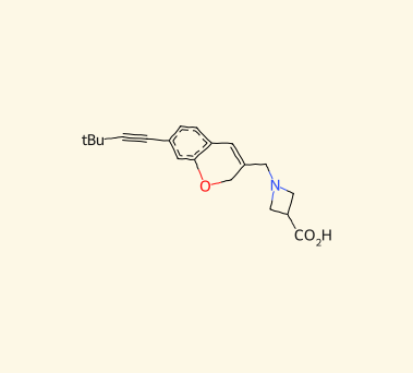 CC(C)(C)C#Cc1ccc2c(c1)OCC(CN1CC(C(=O)O)C1)=C2